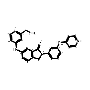 NCc1cc(Nc2ccc3c(c2)C(=O)N(c2cccc(Nc4ccncc4)c2)C3)ccn1